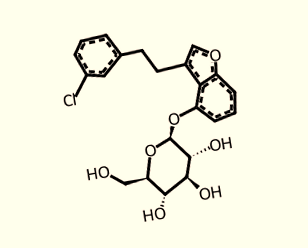 OC[C@H]1O[C@@H](Oc2cccc3occ(CCc4cccc(Cl)c4)c23)[C@H](O)[C@@H](O)[C@@H]1O